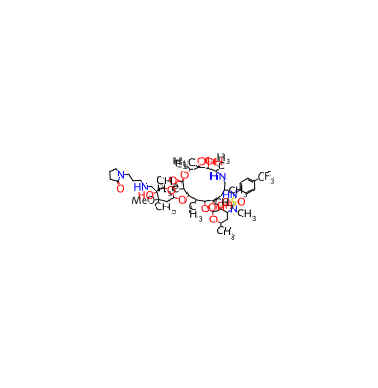 CCC1OC(=O)C(C)C(O[C@H]2C[C@@](C)(OC)[C@](O)(CNCCCN3CCCC3=O)[C@H](C)O2)C(C)C(O[C@@H]2O[C@H](C)C[C@H](N(C)S(=O)(=O)Nc3ccc(C(F)(F)F)cc3)[C@H]2O)C(C)(O)CC(C)CNC(C)C(O)C1(C)O